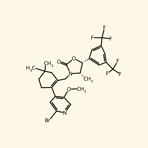 COc1cnc(Br)cc1C1=C(CN2C(=O)O[C@H](c3cc(C(F)(F)F)cc(C(F)(F)F)c3)[C@@H]2C)CC(C)(C)CC1